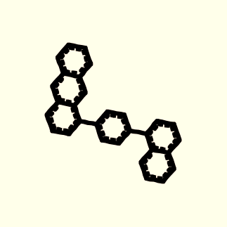 c1ccc2cc3c(-c4ccc(-c5cccc6ccccc56)cc4)cccc3cc2c1